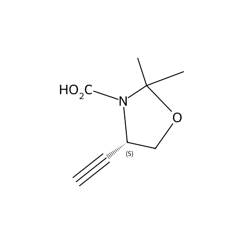 C#C[C@H]1COC(C)(C)N1C(=O)O